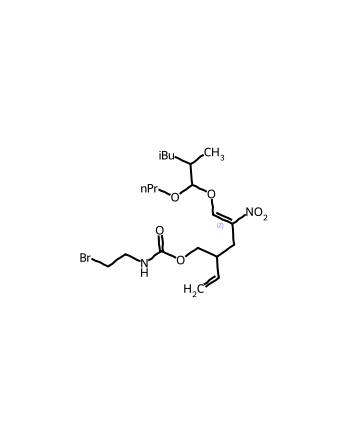 C=CC(COC(=O)NCCBr)C/C(=C/OC(OCCC)C(C)C(C)CC)[N+](=O)[O-]